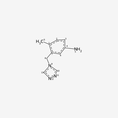 Cc1ccc(N)cc1Cn1cnnc1